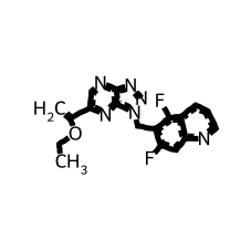 C=C(OCC)c1cnc2nnn(Cc3c(F)cc4ncccc4c3F)c2n1